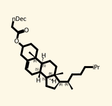 CCCCCCCCCCCC(=O)OC1CC[C@@]2(C)C(=CC[C@H]3[C@@H]4CC[C@H]([C@H](C)CCCC(C)C)[C@@]4(C)CC[C@@H]32)C1